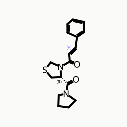 O=C([C@@H]1CSCN1C(=O)/C=C/c1ccccc1)N1CCCC1